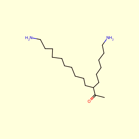 CC(=O)C(CCCCCCN)CCCCCCCCCCN